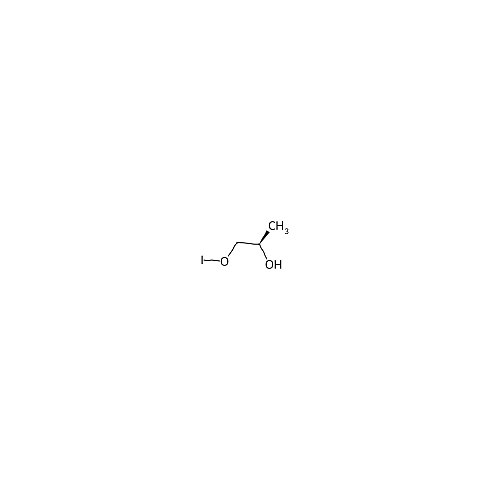 C[C@@H](O)COI